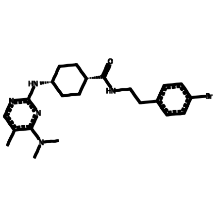 Cc1cnc(N[C@H]2CC[C@@H](C(=O)NCCc3ccc(Br)cc3)CC2)nc1N(C)C